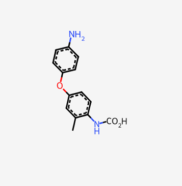 Cc1cc(Oc2ccc(N)cc2)ccc1NC(=O)O